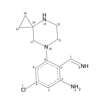 N=Cc1c(N)cc(Cl)cc1N1CCNC2(CC2)C1